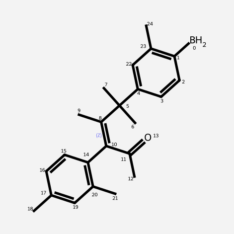 Bc1ccc(C(C)(C)/C(C)=C(\C(C)=O)c2ccc(C)cc2C)cc1C